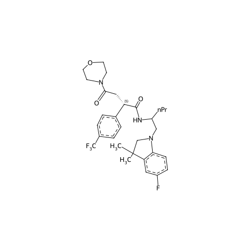 CCCC(CN1CC(C)(C)c2cc(F)ccc21)NC(=O)[C@@H](CC(=O)N1CCOCC1)c1ccc(C(F)(F)F)cc1